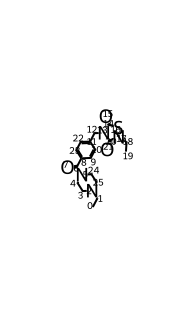 CCN1CCN(C(=O)c2ccc(Cn3c(=O)sn(CC)c3=O)cc2)CC1